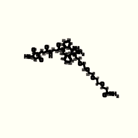 NC(=O)CCOCCOCCOCCOCCN(N)/C1=C(\N)c2ccccc2N(C(=O)CCNC(=O)CCN2C(=O)CC(S)C2=O)Cc2ccccc21